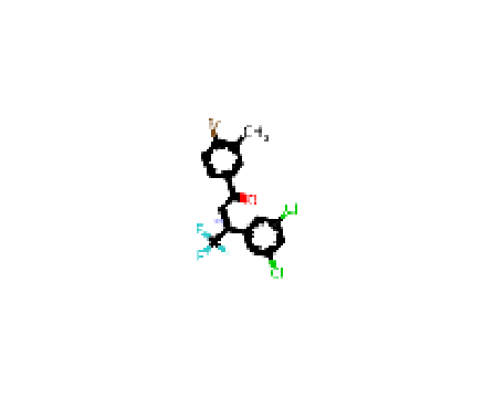 Cc1cc(C(=O)/C=C(\c2cc(Cl)cc(Cl)c2)C(F)(F)F)ccc1Br